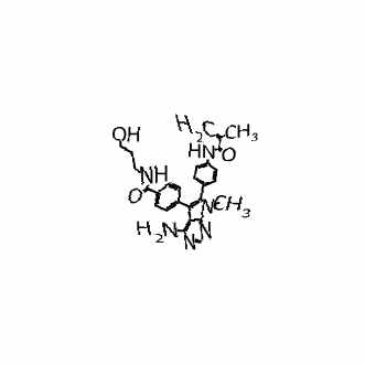 C=C(C)C(=O)Nc1ccc(-c2c(-c3ccc(C(=O)NCCCO)cc3)c3c(N)ncnc3n2C)cc1